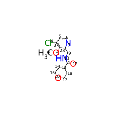 COc1c(Cl)ccnc1CNC(=O)C1CCOCC1